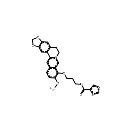 COc1ccc2cc3[n+](cc2c1OCCCOC(=O)c1cscn1)CCc1cc2c(cc1-3)OCO2